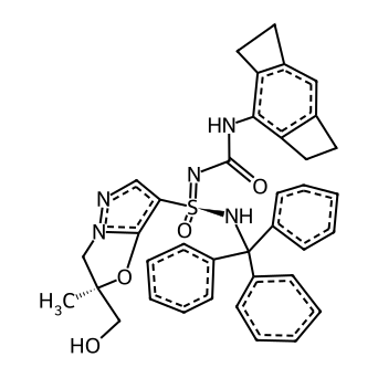 C[C@]1(CO)Cn2ncc([S@@](=O)(=NC(=O)Nc3c4c(cc5c3CC5)CC4)NC(c3ccccc3)(c3ccccc3)c3ccccc3)c2O1